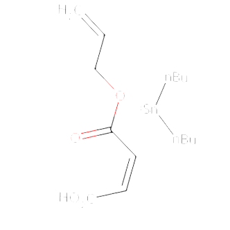 C=CCOC(=O)/C=C\C(=O)O.CCC[CH2][Sn][CH2]CCC